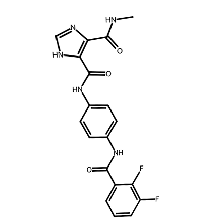 CNC(=O)c1nc[nH]c1C(=O)Nc1ccc(NC(=O)c2cccc(F)c2F)cc1